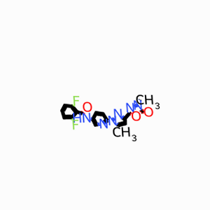 Cc1cc(-c2nn(C)c(=O)o2)nn1-c1ccc(NC(=O)c2c(F)cccc2F)cn1